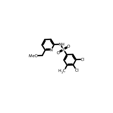 COCc1cccc(NS(=O)(=O)c2cc(C)c(Cl)c(Cl)c2)n1